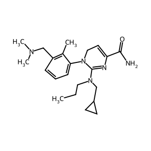 CCCN(CC1CC1)C1=NC(C(N)=O)=CCN1c1cccc(CN(C)C)c1C